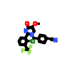 COc1cn(Cc2ccc(C#N)cc2)c(-c2cccc(C(F)(F)F)c2Cl)nc1=O